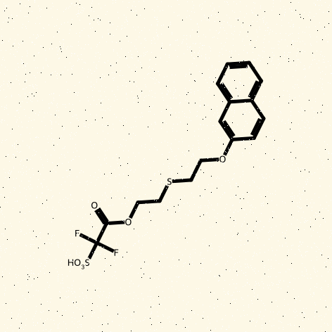 O=C(OCCSCCOc1ccc2ccccc2c1)C(F)(F)S(=O)(=O)O